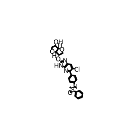 CS(=O)(=Nc1ccc(-c2nc3[nH]c(O[C@H]4CO[C@H]5[C@@H]4OC[C@H]5O)nc3cc2Cl)cc1)c1ccccc1